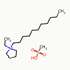 CCCCCCCCCCC[N+]1(CC)CCCC1.CS(=O)(=O)O